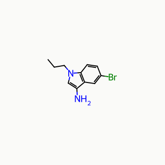 CCCn1cc(N)c2cc(Br)ccc21